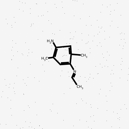 CC=Nc1cc(C)c(N)cc1C